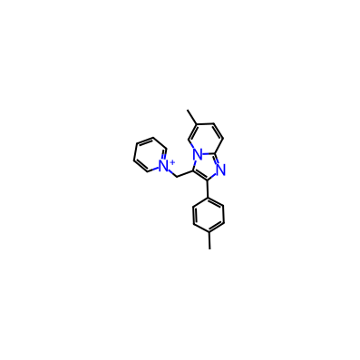 Cc1ccc(-c2nc3ccc(C)cn3c2C[n+]2ccccc2)cc1